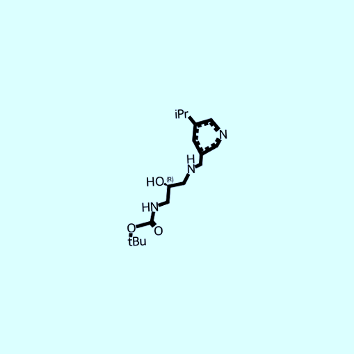 CC(C)c1cncc(CNC[C@@H](O)CNC(=O)OC(C)(C)C)c1